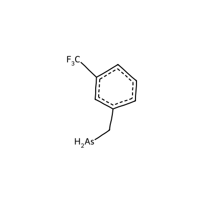 FC(F)(F)c1cccc(C[AsH2])c1